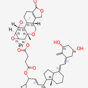 C=C1/C(=C\C=C2/CCC[C@@]3(C)C2CCC3[C@@H](C)/C=C/C(OC(=O)CCC(=O)O[C@@H]2[C@@]3(C(C)C)O[C@H]3[C@@H]3O[C@@]34[C@@]3(C)CCC5=C(COC5=O)[C@@H]3CO[C@]24C)C2CC2)C[C@@H](O)C[C@@H]1O